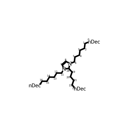 CCCCCCCCCCCCCCCCN1C=CN(CCCCCCCCCCCCCCCC)C1CCCCCCCCCCCCCC